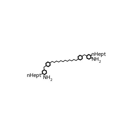 CCCCCCCc1cc(Cc2ccc(CCCCCCCCCCCCc3ccc(Cc4ccc(N)c(CCCCCCC)c4)cc3)cc2)ccc1N